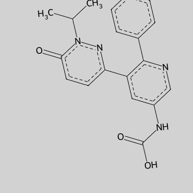 CC(C)n1nc(-c2cc(NC(=O)O)cnc2-c2ccccc2)ccc1=O